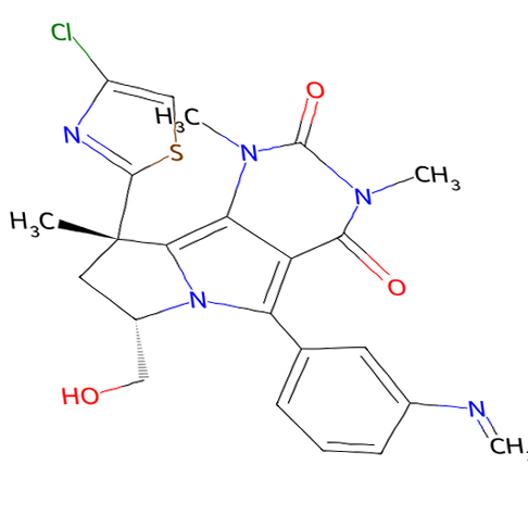 C=Nc1cccc(-c2c3c(=O)n(C)c(=O)n(C)c3c3n2[C@H](CO)C[C@]3(C)c2nc(Cl)cs2)c1